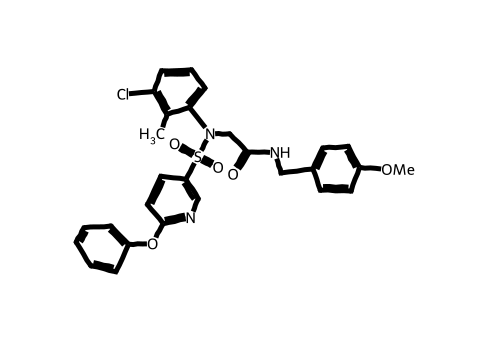 COc1ccc(CNC(=O)CN(c2cccc(Cl)c2C)S(=O)(=O)c2ccc(Oc3ccccc3)nc2)cc1